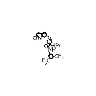 CC(C)CC1(C(=O)NCc2cc(C(F)(F)F)cc(C(F)(F)F)c2)CCN(Cc2ccc3ccc(=O)n(C)c3c2)CC1